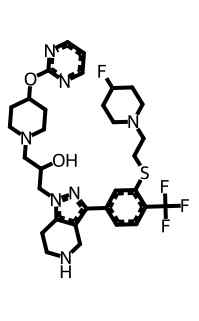 OC(CN1CCC(Oc2ncccn2)CC1)Cn1nc(-c2ccc(C(F)(F)F)c(SCCN3CCC(F)CC3)c2)c2c1CCNC2